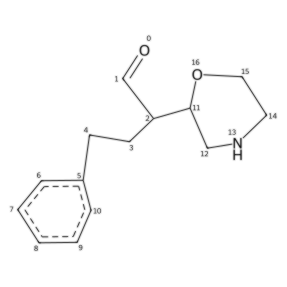 O=CC(CCc1ccccc1)C1CNCCO1